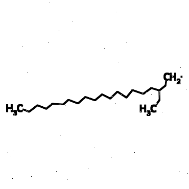 [CH2]CC(CC)CCCCCCCCCCCCCCCCC